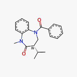 CC(C)[C@H]1CN(C(=O)c2ccccc2)c2ccccc2N(C)C1=O